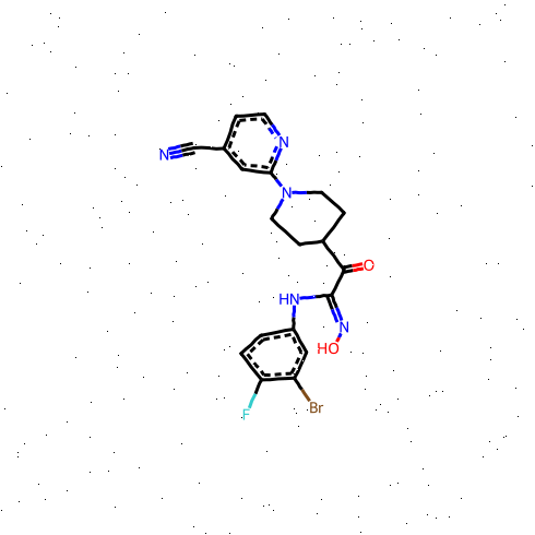 N#Cc1ccnc(N2CCC(C(=O)/C(=N/O)Nc3ccc(F)c(Br)c3)CC2)c1